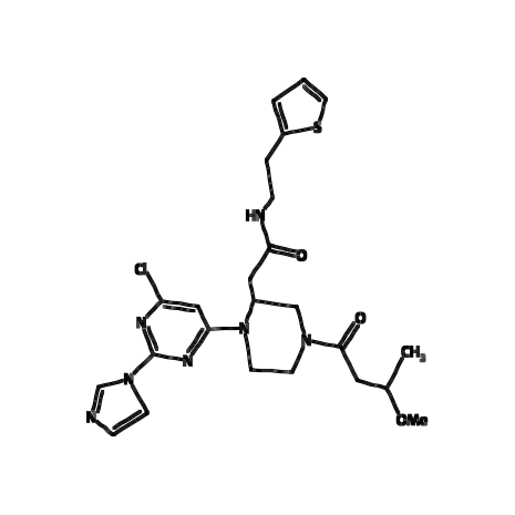 COC(C)CC(=O)N1CCN(c2cc(Cl)nc(-n3ccnc3)n2)C(CC(=O)NCCc2cccs2)C1